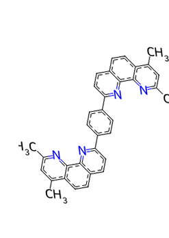 Cc1cc(C)c2ccc3ccc(-c4ccc(-c5ccc6ccc7c(C)cc(C)nc7c6n5)cc4)nc3c2n1